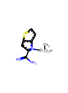 CC(=O)O.CCn1c(C(=N)N)cc2sccc21